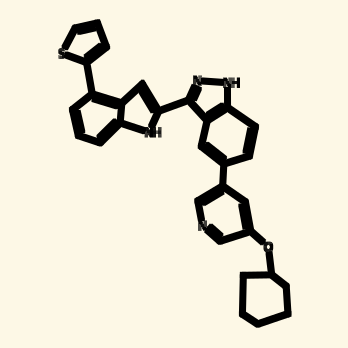 c1csc(-c2cccc3[nH]c(-c4n[nH]c5ccc(-c6cncc(OC7CCCCC7)c6)cc45)cc23)c1